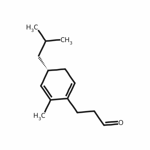 CC1=C[C@H](CC(C)C)CC=C1CCC=O